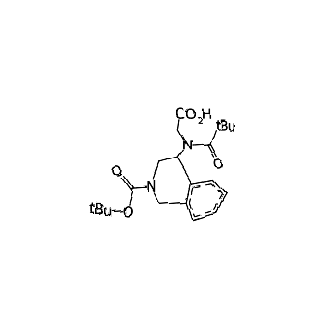 CC(C)(C)OC(=O)N1Cc2ccccc2C(N(CC(=O)O)C(=O)C(C)(C)C)C1